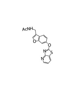 CC(=O)NCc1coc2cc(Oc3nc4ncccc4s3)ccc12